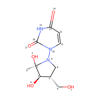 C[C@@]1(O)[C@H](O)[C@@H](CO)CN1n1ccc(=O)[nH]c1=O